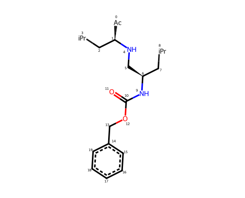 CC(=O)[C@H](CC(C)C)NC[C@@H](CC(C)C)NC(=O)OCc1ccccc1